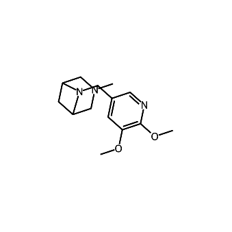 COc1cc(CN2C3CC2CN(C)C3)cnc1OC